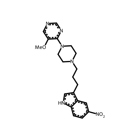 COc1cncnc1N1CCN(CCCc2c[nH]c3ccc([N+](=O)[O-])cc23)CC1